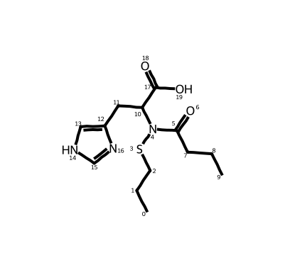 CCCSN(C(=O)CCC)C(Cc1c[nH]cn1)C(=O)O